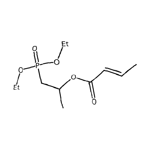 CC=CC(=O)OC(C)CP(=O)(OCC)OCC